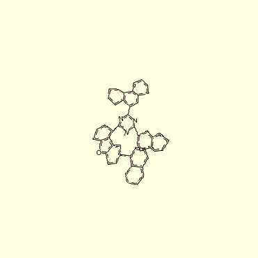 c1ccc2cc(-c3nc(-c4cc5ccccc5c5ccccc45)nc(-c4cccc5oc6ccc(-c7cccc8ccccc78)cc6c45)n3)ccc2c1